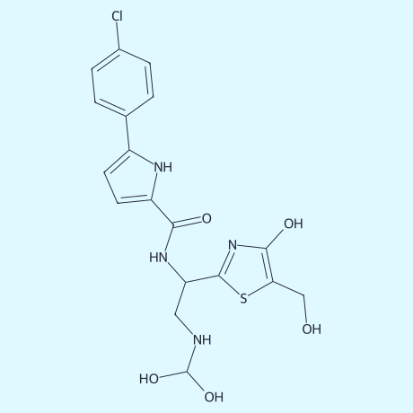 O=C(NC(CNC(O)O)c1nc(O)c(CO)s1)c1ccc(-c2ccc(Cl)cc2)[nH]1